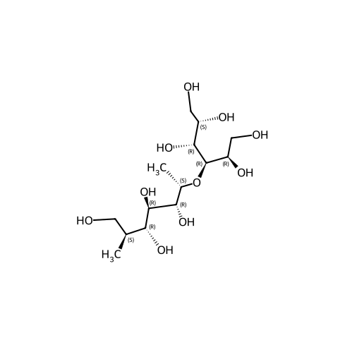 C[C@H](O[C@@H]([C@H](O)[C@@H](O)CO)[C@H](O)CO)[C@H](O)[C@H](O)[C@H](O)[C@@H](C)CO